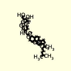 CC(C)CCC[C@@H](C)[C@H]1CCC2C3CC=C4C[C@@H](OC(=O)Nc5ccn(C6OC(CO)C(O)C6(F)F)c(=O)n5)CC[C@]4(C)C3CC[C@@]21C